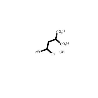 CCCC(CC)CC(C(=O)O)C(=O)O.[LiH]